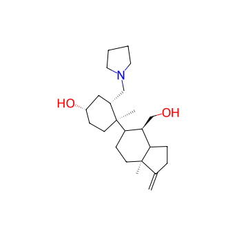 C=C1CCC2[C@H](CO)C([C@@]3(C)CC[C@H](O)C[C@@H]3CN3CCCC3)CC[C@]12C